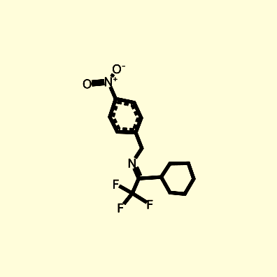 O=[N+]([O-])c1ccc(C/N=C(\C2CCCCC2)C(F)(F)F)cc1